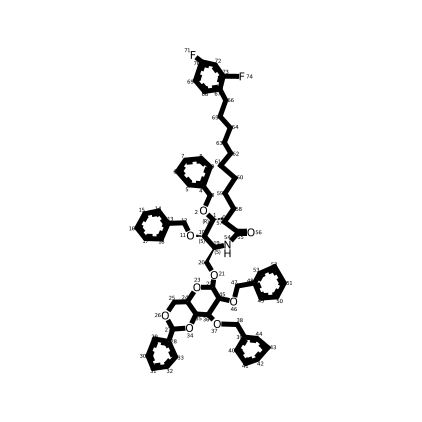 C[C@@H](OCc1ccccc1)[C@@H](OCc1ccccc1)[C@H](COC1OC2COC(c3ccccc3)OC2C(OCc2ccccc2)C1OCc1ccccc1)NC(=O)CCCCCCCCCCc1ccc(F)cc1F